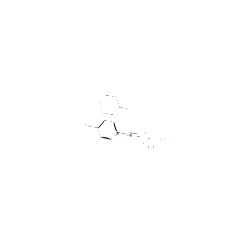 C[CH2][Ti]([O]C)([O]C)[O]C.Nc1ccc(N)cc1.OC1CCCCC1